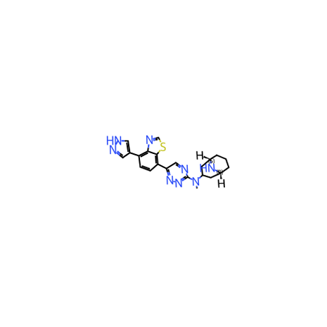 CN(c1ncc(-c2ccc(-c3cn[nH]c3)c3ncsc23)nn1)C1C[C@H]2CCC[C@@H](C1)N2